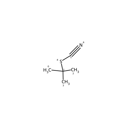 CC(C)(C)SC#N